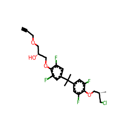 C#CCOC[C@@H](O)COc1c(F)cc(C(C)(C)c2cc(F)c(OC[C@H](C)CCl)c(F)c2)cc1F